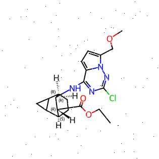 CCOC(=O)[C@H]1[C@H](Nc2nc(Cl)nn3c(COC)ccc23)[C@@H]2CC[C@H]1C1CC12